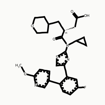 COc1ccc(-c2ccc(F)cc2-c2csc(N(C(=O)[C@@H](CC(=O)O)CC3CCOCC3)C3CC3)n2)cn1